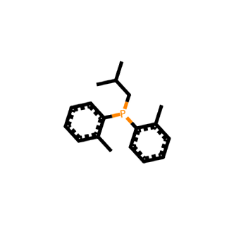 Cc1ccccc1P(CC(C)C)c1ccccc1C